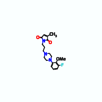 COc1c(F)cccc1N1CCN(CCCN2C(=O)C=C(C)C2=O)CC1